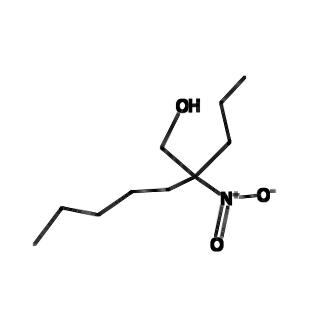 CCCCCC(CO)(CCC)[N+](=O)[O-]